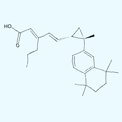 CCCC(/C=C/[C@@H]1C[C@]1(C)c1ccc2c(c1)C(C)(C)CCC2(C)C)=C\C(=O)O